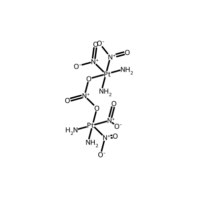 [NH2][Pt]([NH2])([O][N+](=O)[O][Pt]([NH2])([NH2])([N+](=O)[O-])[N+](=O)[O-])([N+](=O)[O-])[N+](=O)[O-]